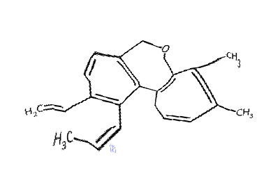 C=Cc1ccc2c(c1/C=C\C)-c1ccc(C)c(C)c1OC2